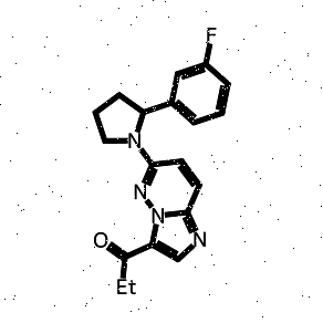 CCC(=O)c1cnc2ccc(N3CCCC3c3cccc(F)c3)nn12